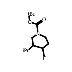 CC(C)C1CN(C(=O)OC(C)(C)C)CCC1F